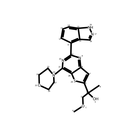 COCC(C)(O)c1cc2nc(-c3cccc4[nH]ncc34)nc(N3CCOCC3)c2s1